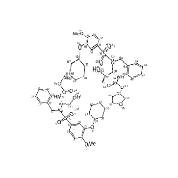 COc1ccc(S(=O)(=O)N(Cc2ccccc2)[C@H](NC(=O)OC(C)(C)C)[C@@H](C)O)cc1OC1CCCCC1.COc1ccc(S(=O)(=O)N(Cc2ccccc2)[C@H](NC(=O)O[C@H]2CCOC2)[C@@H](C)O)cc1OC1CCCCC1